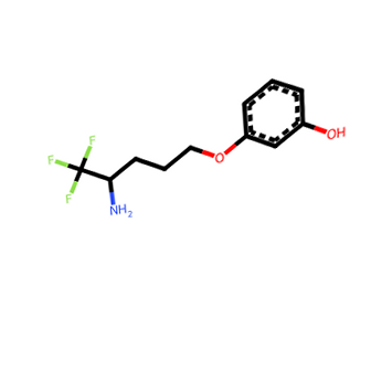 NC(CCCOc1cccc(O)c1)C(F)(F)F